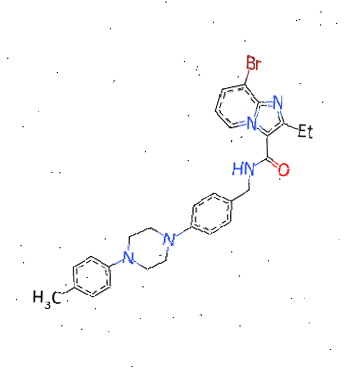 CCc1nc2c(Br)cccn2c1C(=O)NCc1ccc(N2CCN(c3ccc(C)cc3)CC2)cc1